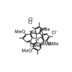 COc1cc(C)c(OC)c(C)c1[Si](c1c(OC)cc(C)c(OC)c1C)(c1c(OC)cc(C)c(OC)c1C)[C]1([Ti+3])C(C)=C(C)C(C)=C1C.[Cl-].[Cl-].[Cl-]